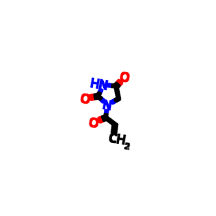 C=CC(=O)N1CC(=O)NC1=O